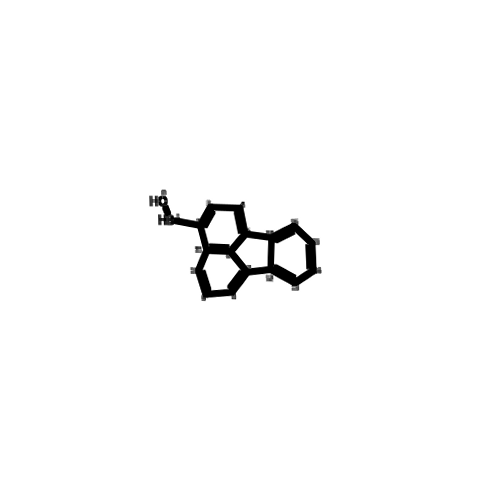 OBc1ccc2c3c(cccc13)-c1ccccc1-2